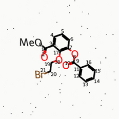 COC(=O)c1cccc(OC(=O)c2ccccc2)c1OCCBr